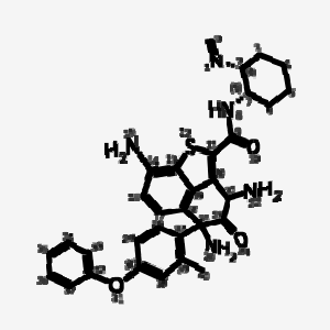 C=N[C@@H]1CCCC[C@@H]1NC(=O)c1sc2c(N)ccc3c2c1C(N)C(=O)C3(N)c1ccc(Oc2ccccc2)cc1C